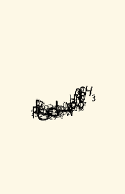 CS(=O)(=O)Nc1ccccc1-c1ccc2[nH]c(/C=C/c3ccc(OC(F)F)cc3)nc2c1